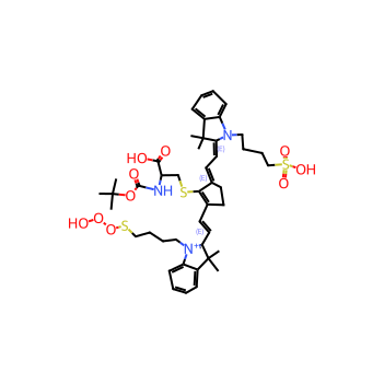 CC(C)(C)OC(=O)NC(CSC1=C(/C=C/C2=[N+](CCCCSOOO)c3ccccc3C2(C)C)CC/C1=C\C=C1\N(CCCCS(=O)(=O)O)c2ccccc2C1(C)C)C(=O)O